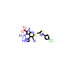 COC(=O)c1c(N)c2c(-c3cc[nH]n3)c(C#N)c(SCc3csc(-c4ccc(Cl)cc4)n3)nc2n1C